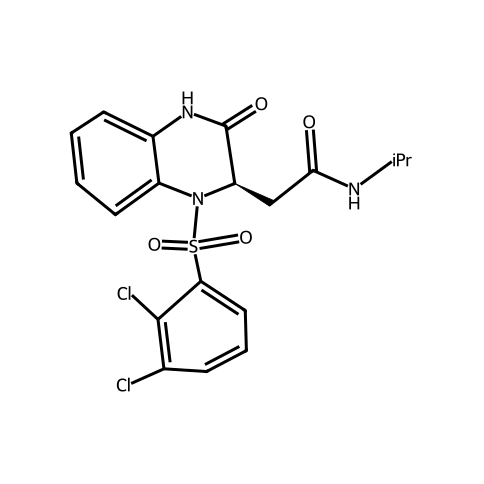 CC(C)NC(=O)C[C@@H]1C(=O)Nc2ccccc2N1S(=O)(=O)c1cccc(Cl)c1Cl